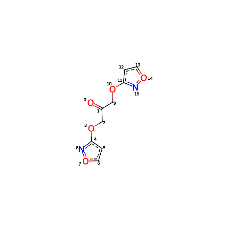 O=C(COc1ccon1)COc1ccon1